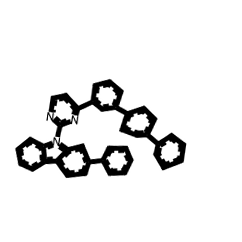 c1ccc(-c2ccc(-c3cccc(-c4ccnc(-n5c6ccccc6c6ccc(-c7ccccc7)cc65)n4)c3)cc2)cc1